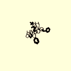 CC(OC(C)(C)C)[C@H](NC(=O)OCc1ccccc1)C(=O)NN1C(=O)CC1Oc1ccccc1